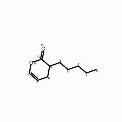 CCCCCC1CC=COC1=O